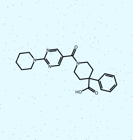 O=C(c1cnc(N2CCCCC2)nc1)N1CCC(C(=O)O)(c2ccccc2)CC1